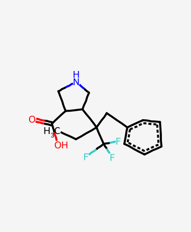 CCC(Cc1ccccc1)(C1CNCC1C(=O)O)C(F)(F)F